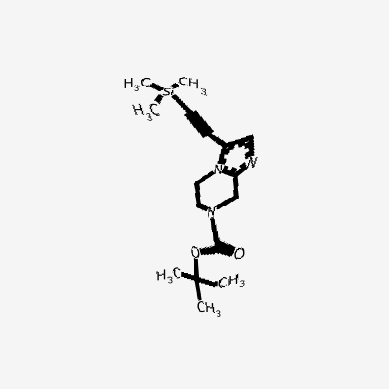 CC(C)(C)OC(=O)N1CCn2c(C#C[Si](C)(C)C)cnc2C1